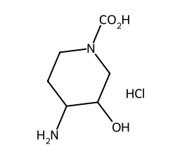 Cl.NC1CCN(C(=O)O)CC1O